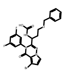 O=C(O)NC(CCOCc1ccccc1)c1nn2ccc(Br)c2c(=O)n1-c1cc(F)cc(F)c1